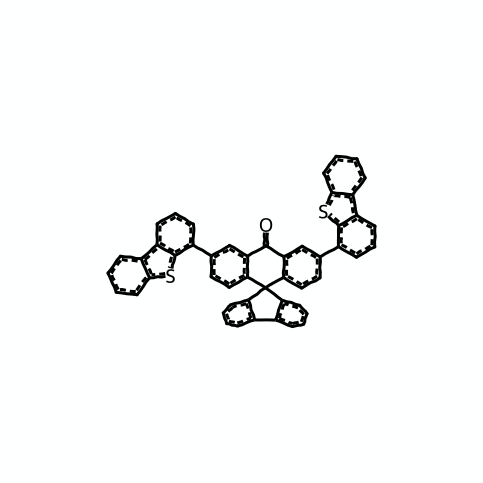 O=C1c2cc(-c3cccc4c3sc3ccccc34)ccc2C2(c3ccc(-c4cccc5c4sc4ccccc45)cc31)c1ccccc1-c1ccccc12